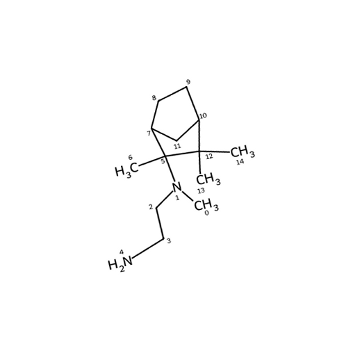 CN(CCN)C1(C)C2CCC(C2)C1(C)C